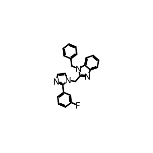 Fc1cccc(-c2nccn2Cc2nc3ccccc3n2Cc2ccccc2)c1